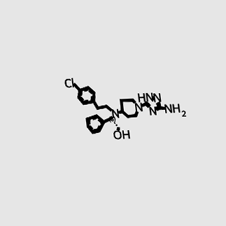 Nc1n[nH]c(N2CCC(N(CCc3ccc(Cl)cc3)[C@H](CO)c3ccccc3)CC2)n1